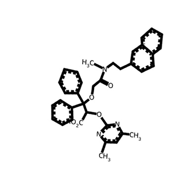 Cc1cc(C)nc(OC(C(=O)O)C(OCC(=O)N(C)CCc2ccc3ccccc3c2)(c2ccccc2)c2ccccc2)n1